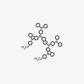 C=Cc1ccc(-n2c3ccccc3c3cc(N(c4ccc(N(c5ccccc5)c5ccccc5)cc4)c4ccc5cc(N(c6ccc(N(c7ccccc7)c7ccccc7)cc6)c6ccc7c(c6)c6ccccc6n7-c6ccc(C=C)cc6)ccc5c4)ccc32)cc1